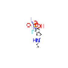 CC(C)CCNCC1Cc2cc(O)c(N3CC(=O)NS3(=O)=O)c(F)c2C1